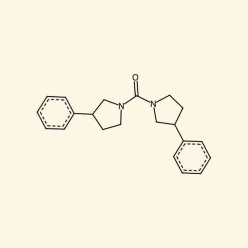 O=C(N1CCC(c2ccccc2)C1)N1CCC(c2ccccc2)C1